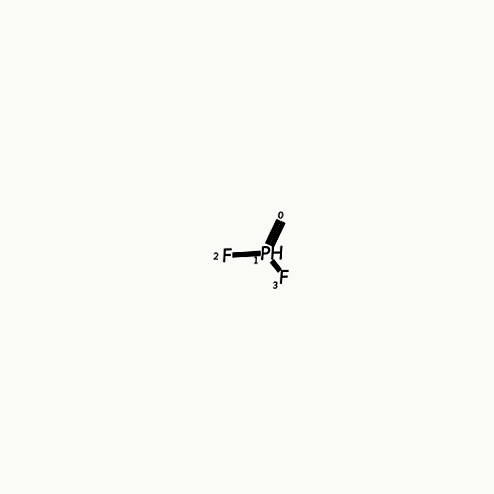 C=[PH](F)F